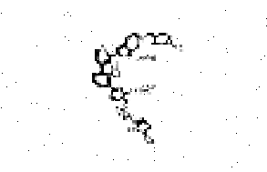 COc1cc(-c2nccc(-c3cccc(-c4ccc(CN[C@@H]5CCC(=O)N5)c(OC)n4)c3Cl)c2Cl)cc2c1CN(CC1CCN(C(C)=O)CC1)CC2